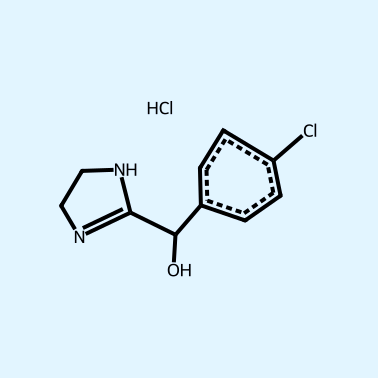 Cl.OC(C1=NCCN1)c1ccc(Cl)cc1